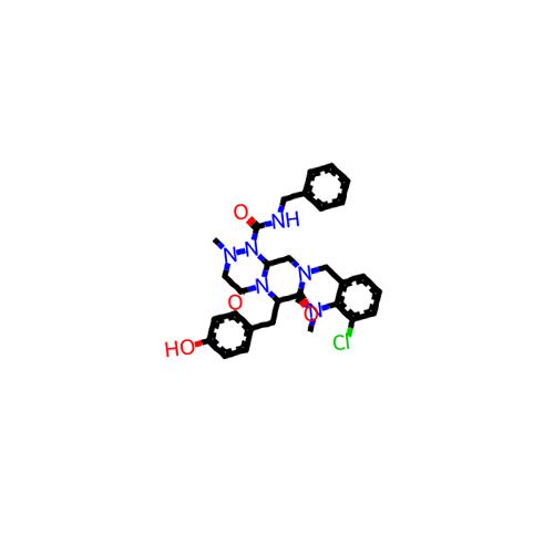 CN(C)c1c(Cl)cccc1CN1CC2N(C(=O)CN(C)N2C(=O)NCc2ccccc2)C(Cc2ccc(O)cc2)C1=O